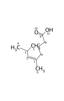 CC(=CC(C)C)CCCC(=O)O